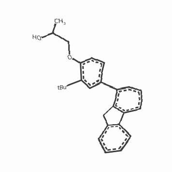 CC(O)COc1ccc(-c2cccc3c2Cc2ccccc2-3)cc1C(C)(C)C